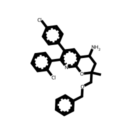 CC1(COCc2ccccc2)CC(N)c2cc(-c3ccc(Cl)cc3)c(-c3ccccc3Cl)nc2O1